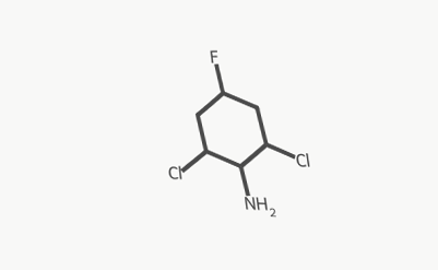 NC1C(Cl)CC(F)CC1Cl